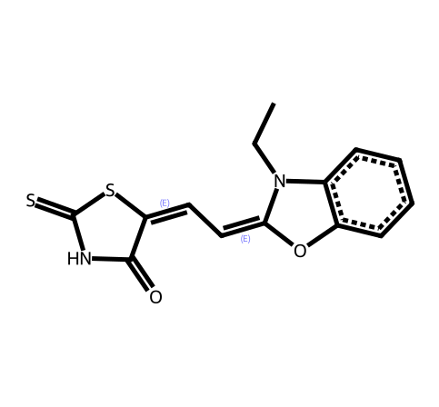 CCN1/C(=C\C=C2\SC(=S)NC2=O)Oc2ccccc21